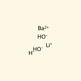 [Ba+2].[H-].[Li+].[OH-].[OH-]